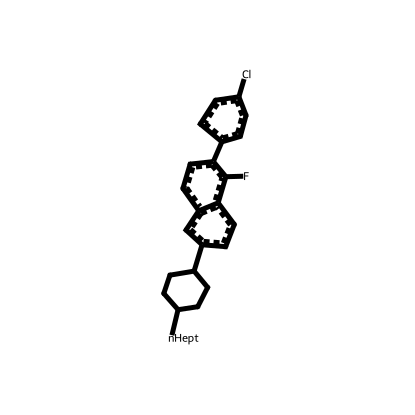 CCCCCCCC1CCC(c2ccc3c(F)c(-c4ccc(Cl)cc4)ccc3c2)CC1